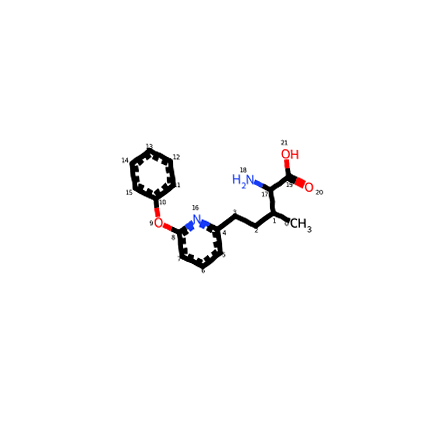 CC(CCc1cccc(Oc2ccccc2)n1)C(N)C(=O)O